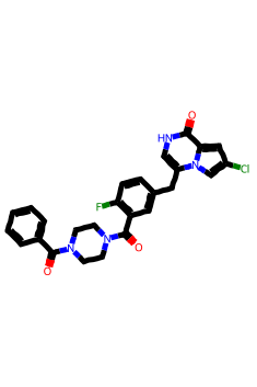 O=C(c1ccccc1)N1CCN(C(=O)c2cc(Cc3c[nH]c(=O)c4cc(Cl)cn34)ccc2F)CC1